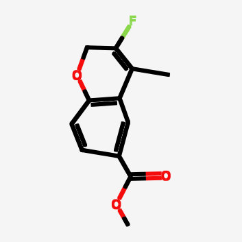 COC(=O)c1ccc2c(c1)C(C)=C(F)CO2